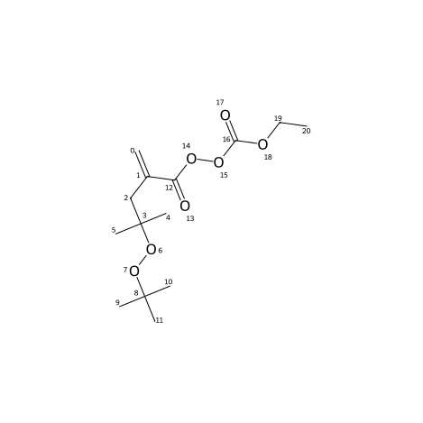 C=C(CC(C)(C)OOC(C)(C)C)C(=O)OOC(=O)OCC